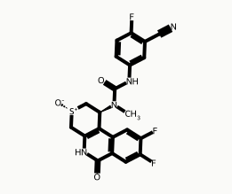 CN(C(=O)Nc1ccc(F)c(C#N)c1)[C@@H]1C[S@@+]([O-])Cc2[nH]c(=O)c3cc(F)c(F)cc3c21